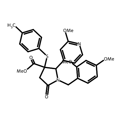 COC(=O)C1(Sc2ccc(C)cc2)CC(=O)N(Cc2ccc(OC)cc2OC)C1c1ccnc(OC)c1